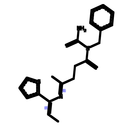 C=C(N)N(Cc1ccccc1)C(=C)CC/C(C)=N/C(=C\C)c1cccs1